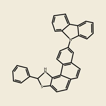 c1ccc(C2Nc3c(ccc4ccc5cc(-n6c7ccccc7c7ccccc76)ccc5c34)S2)cc1